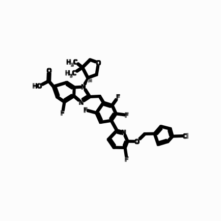 CC1(C)COC[C@H]1n1c(Cc2c(F)cc(-c3ccc(F)c(OCc4ccc(Cl)cc4)n3)c(F)c2F)nc2c(F)cc(C(=O)O)cc21